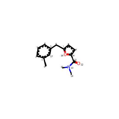 Cc1cccc(Cc2ccc(C(=O)N(C)C)o2)c1